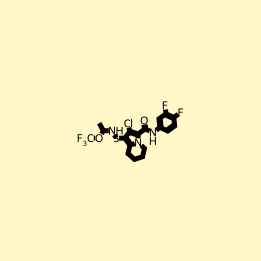 CC(NSc1c(Cl)c(C(=O)Nc2ccc(F)c(F)c2)n2c1CCCC2)OC(F)(F)F